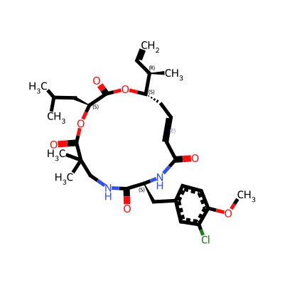 C=C[C@@H](C)[C@@H]1C/C=C/C(=O)N[C@@H](Cc2ccc(OC)c(Cl)c2)C(=O)NCC(C)(C)C(=O)O[C@@H](CC(C)C)C(=O)O1